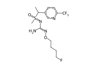 CC(c1ccc(C(F)(F)F)nc1)S(C)(=O)=N/C(N)=N/OCCCCF